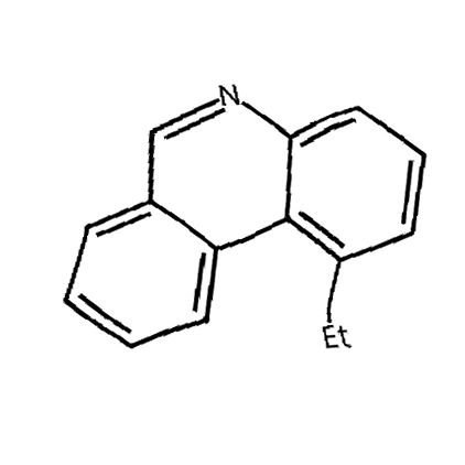 CCc1cccc2ncc3ccccc3c12